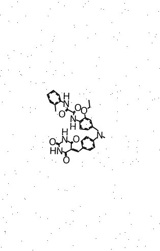 CCOc1cc(CN(C)c2ccc(C=C3C(=O)NC(=O)NC3=O)cc2)ccc1NC(=O)C(=O)Nc1ccccc1C